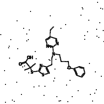 CCc1cnc(N(CCCOc2ccccc2)CCc2csc(SC(C)(C)C(=O)O)n2)nc1